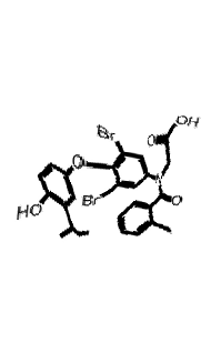 Cc1ccccc1C(=O)N(CC(=O)O)c1cc(Br)c(Oc2ccc(O)c(C(C)C)c2)c(Br)c1